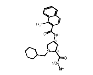 CCCNC(=O)[C@@H]1C[C@H](NC(=O)c2ccc3ccccc3c2C)CN1CC1CCCCC1